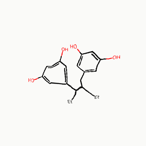 CCC(c1cc(O)cc(O)c1)C(CC)c1cc(O)cc(O)c1